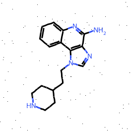 Nc1nc2ccccc2c2c1ncn2CCC1CCNCC1